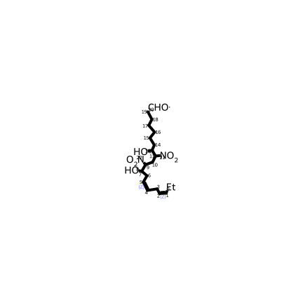 CC/C=C\C/C=C\CC(O)C(CC(C(O)CCCCCC[C]=O)[N+](=O)[O-])[N+](=O)[O-]